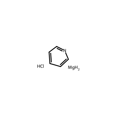 Cl.[MgH2].c1ccncc1